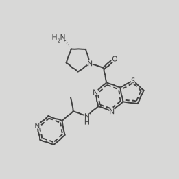 CC(Nc1nc(C(=O)N2CC[C@H](N)C2)c2sccc2n1)c1cccnc1